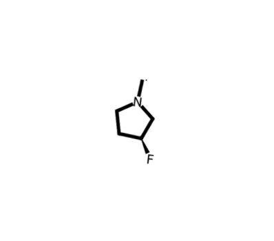 [CH2]N1CC[C@H](F)C1